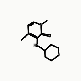 Cc1ccn(C)c(=O)c1NC1CCCCC1